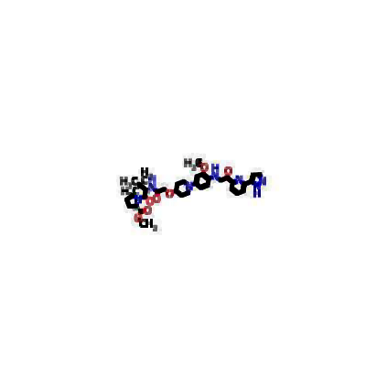 COC(=O)[C@@H]1CCCN1C(=O)[C@@H](NC(=O)COC1CCN(c2ccc(NCC(=O)c3cccc(-c4ccn[nH]4)n3)c(OC)c2)CC1)C(C)(C)C